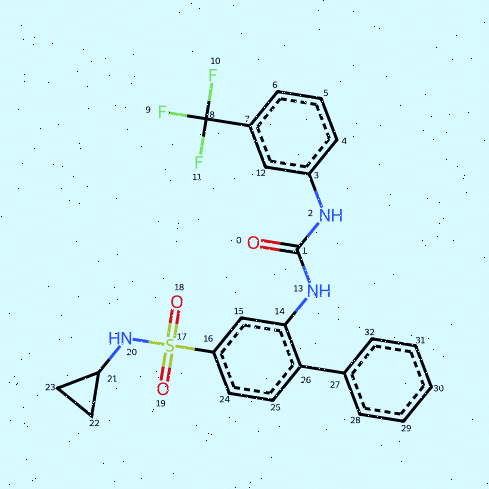 O=C(Nc1cccc(C(F)(F)F)c1)Nc1cc(S(=O)(=O)NC2CC2)ccc1-c1ccccc1